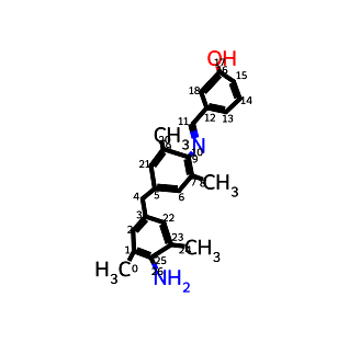 Cc1cc(Cc2cc(C)c(/N=C/c3cccc(O)c3)c(C)c2)cc(C)c1N